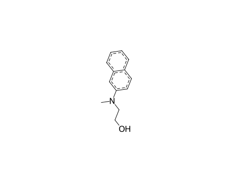 CN(CCO)c1ccc2ccccc2c1